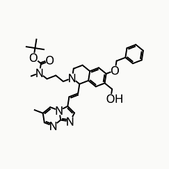 Cc1cnc2ncc(/C=C/C3c4cc(CO)c(OCc5ccccc5)cc4CCN3CCCN(C)C(=O)OC(C)(C)C)n2c1